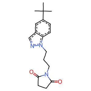 CC(C)(C)c1ccc2c(cnn2CCCN2C(=O)CCC2=O)c1